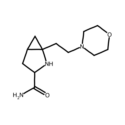 NC(=O)C1CC2CC2(CCN2CCOCC2)N1